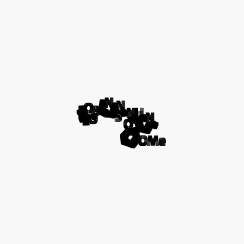 COc1ccccc1-c1cc(C)ncc1C(=O)Nc1nc2ncc(B3OC(C)(C)C(C)(C)O3)cc2s1